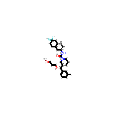 CCOCCCO[C@@H](c1cccc(C)c1)[C@@H]1CCCN(C(=O)N[C@H](CNC)CC2CCC(F)(F)CC2)C1